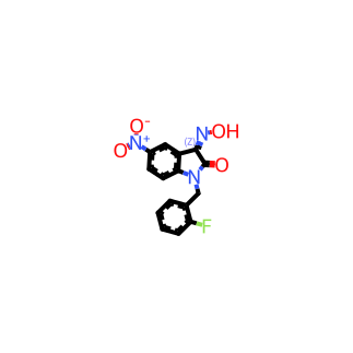 O=C1/C(=N\O)c2cc([N+](=O)[O-])ccc2N1Cc1ccccc1F